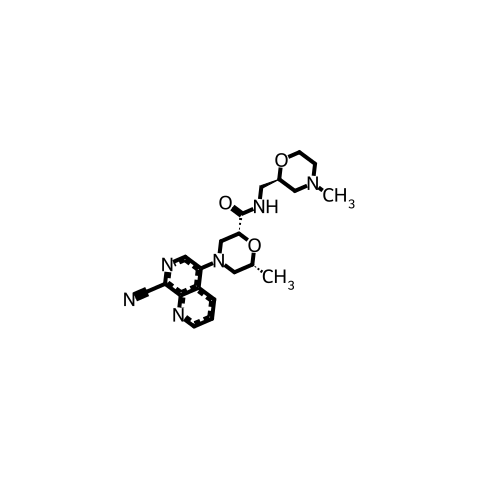 C[C@@H]1CN(c2cnc(C#N)c3ncccc23)C[C@H](C(=O)NC[C@@H]2CN(C)CCO2)O1